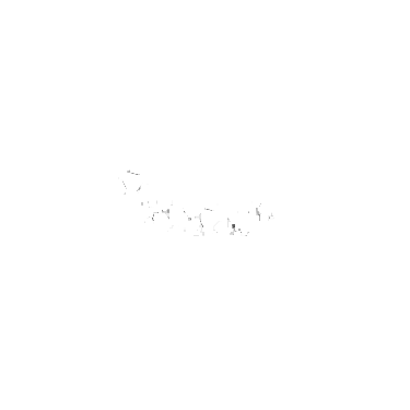 COC(=O)[C@H]1CN(c2ccc(N3CCN(C(=O)OCc4ccccc4)CC3)c(F)c2)C(=O)O1